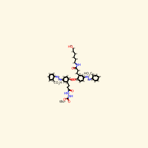 CC(C)(C)OC(=O)NNC(=O)CCc1cc(N=Nc2ccccc2C(=O)O)ccc1O.O=C(CCc1cc(N=Nc2ccccc2C(=O)O)ccc1O)NCCCCCCO